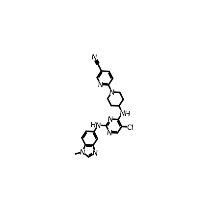 Cn1cnc2cc(Nc3ncc(Cl)c(NC4CCN(c5ccc(C#N)cn5)CC4)n3)ccc21